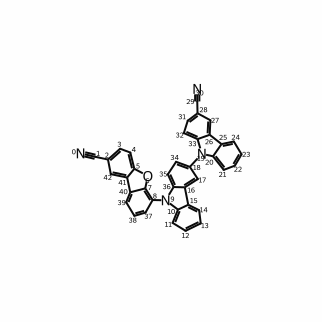 N#Cc1ccc2oc3c(-n4c5ccccc5c5cc(-n6c7ccccc7c7cc(C#N)ccc76)ccc54)cccc3c2c1